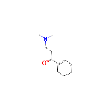 CN(C)CCC(=O)C1=CC=CCC1